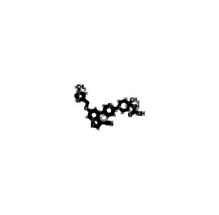 Cn1cnc(COc2cc(-c3ccc(N4CCC(C)(NC(=O)O)CC4)nc3)c3c(C#N)cnn3c2)c1